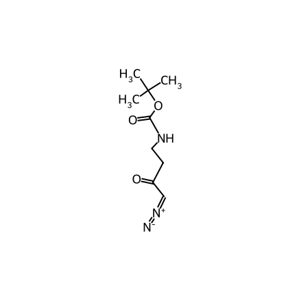 CC(C)(C)OC(=O)NCCC(=O)C=[N+]=[N-]